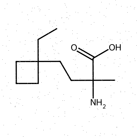 CCC1(CCC(C)(N)C(=O)O)CCC1